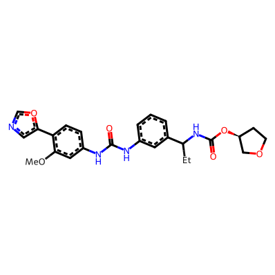 CCC(NC(=O)O[C@H]1CCOC1)c1cccc(NC(=O)Nc2ccc(-c3cnco3)c(OC)c2)c1